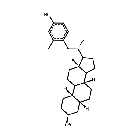 CCC[C@H]1CC[C@@H]2C3CC[C@@]4(C)C(CCC4[C@@H](C)Cc4ccc(C#N)cc4C)[C@@H]3CC[C@@H]2C1